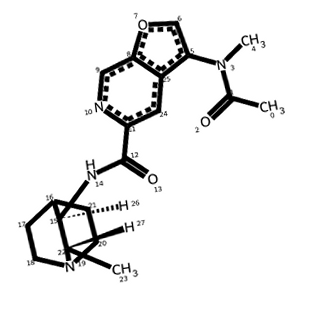 CC(=O)N(C)c1coc2cnc(C(=O)N[C@@H]3C4CCN(CC4)[C@H]3C)cc12